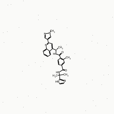 Cc1cc(C(=O)NC(C)(C)c2ncc[nH]2)ccc1C(=O)N[C@H](C)c1cc(-c2cnn(C)c2)nc2ccccc12